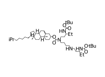 CCC(CCNCCCCN(CCC(CC)NC(=O)OC(C)(C)C)C(=O)O[C@H]1CC[C@@]2(C)C(=CC[C@H]3[C@@H]4CC[C@H](CCCCCC(C)C)[C@@]4(C)CC[C@@H]32)C1)NC(=O)OC(C)(C)C